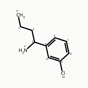 CCCC(N)c1cccc(Cl)c1